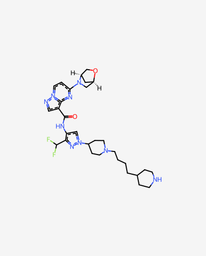 O=C(Nc1cn(C2CCN(CCCCC3CCNCC3)CC2)nc1C(F)F)c1cnn2ccc(N3C[C@H]4C[C@@H]3CO4)nc12